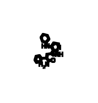 NC(=O)C(=Cc1c[nH]c2nccc(NC3CCCCC3)c12)c1ccccc1